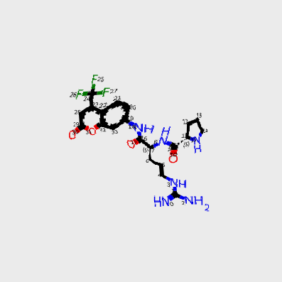 N=C(N)NCCC[C@H](NC(=O)[C@@H]1CCCN1)C(=O)Nc1ccc2c(C(F)(F)F)cc(=O)oc2c1